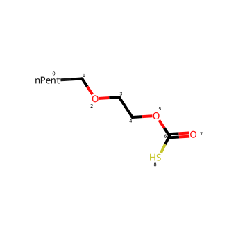 CCCCCCOCCOC(=O)S